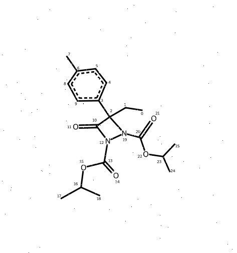 CCC1(c2ccc(C)cc2)C(=O)N(C(=O)OC(C)C)N1C(=O)OC(C)C